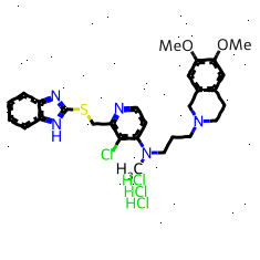 COc1cc2c(cc1OC)CN(CCCN(C)c1ccnc(CSc3nc4ccccc4[nH]3)c1Cl)CC2.Cl.Cl.Cl